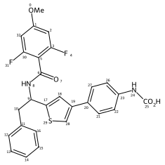 COc1cc(F)c(C(=O)NC(Cc2ccccc2)c2cc(-c3ccc(NC(=O)O)cc3)cs2)c(F)c1